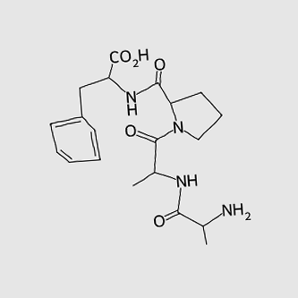 CC(N)C(=O)NC(C)C(=O)N1CCCC1C(=O)NC(Cc1ccccc1)C(=O)O